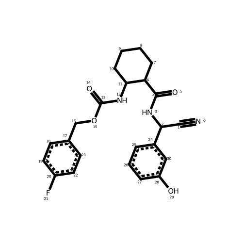 N#CC(NC(=O)C1CCCCC1NC(=O)OCc1ccc(F)cc1)c1cccc(O)c1